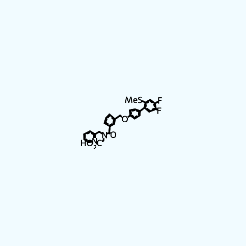 CSc1cc(F)c(F)cc1-c1ccc(OCc2cccc(C(=O)N(CC(=O)O)Cc3ccccn3)c2)cc1